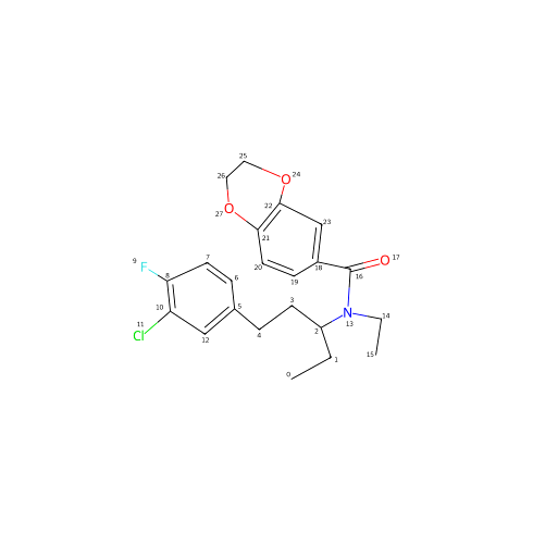 CCC(CCc1ccc(F)c(Cl)c1)N(CC)C(=O)c1ccc2c(c1)OCCO2